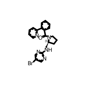 O=C(c1ccccc1-c1ccccn1)N1CCC[C@H]1CNc1ncc(Br)cn1